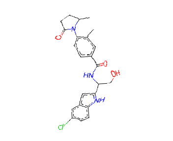 Cc1cc(C(=O)NC(CO)c2cc3cc(Cl)ccc3[nH]2)ccc1N1C(=O)CCC1C